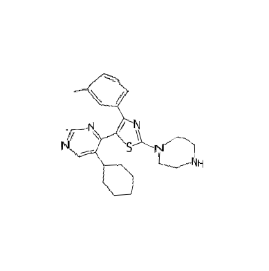 Cc1cccc(-c2nc(N3CCNCC3)sc2-c2n[c]ncc2C2CCCCC2)c1